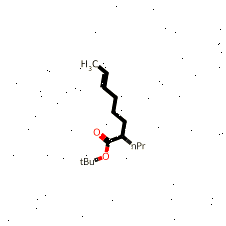 CC=CCCCC(CCC)C(=O)OC(C)(C)C